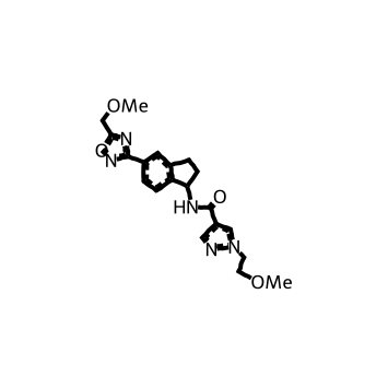 COCCn1cc(C(=O)NC2CCc3cc(-c4noc(COC)n4)ccc32)cn1